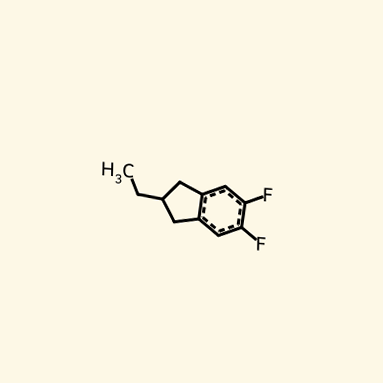 CCC1Cc2cc(F)c(F)cc2C1